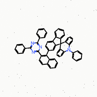 c1ccc(-c2nc(-c3ccccc3)nc(-c3ccc4ccccc4c3-c3ccc4c(c3)C3(c5ccccc5-4)c4ccccc4N(c4ccccc4)c4ccccc43)n2)cc1